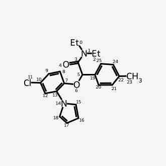 CCN(CC)C(=O)C(Oc1ccc(Cl)cc1-n1cccc1)c1ccc(C)cc1